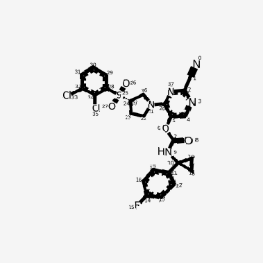 N#Cc1ncc(OC(=O)NC2(c3ccc(F)cc3)CC2)c(N2CC[C@H](S(=O)(=O)c3cccc(Cl)c3Cl)C2)n1